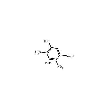 Cc1cc(S(=O)(=O)O)c([N+](=O)[O-])cc1[N+](=O)[O-].[NaH]